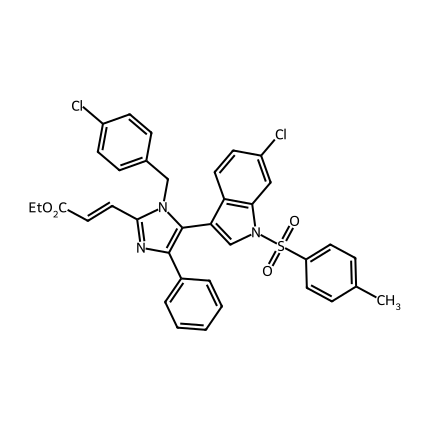 CCOC(=O)C=Cc1nc(-c2ccccc2)c(-c2cn(S(=O)(=O)c3ccc(C)cc3)c3cc(Cl)ccc23)n1Cc1ccc(Cl)cc1